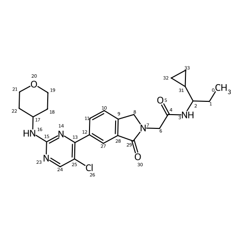 CCC(NC(=O)CN1Cc2ccc(-c3nc(NC4CCOCC4)ncc3Cl)cc2C1=O)C1CC1